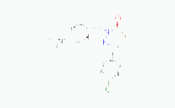 O=C1SCC(c2ccc(Cl)cc2)=NN1Cc1ccc([N+](=O)[O-])cc1